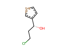 O[C@H](CCCl)c1ccsc1